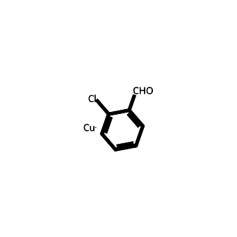 O=Cc1ccccc1Cl.[Cu]